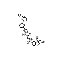 Cc1nccc(-c2cccc(-c3csc(NC(=O)CNC(=O)c4ccc5c(c4)[C@](C)(CO)CC5)n3)n2)n1